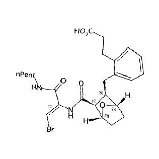 CCCCCNC(=O)/C(=C/Br)NC(=O)[C@H]1[C@@H](Cc2ccccc2CCC(=O)O)[C@@H]2CC[C@H]1O2